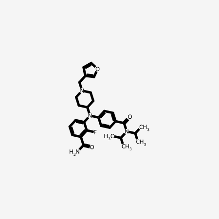 CC(C)N(C(=O)c1ccc(N(c2cccc(C(N)=O)c2F)C2CCN(Cc3ccoc3)CC2)cc1)C(C)C